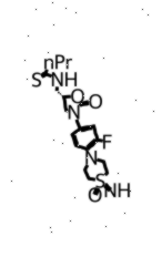 CCCC(=S)NC[C@H]1CN(c2ccc(N3CCS(=N)(=O)CC3)c(F)c2)C(=O)O1